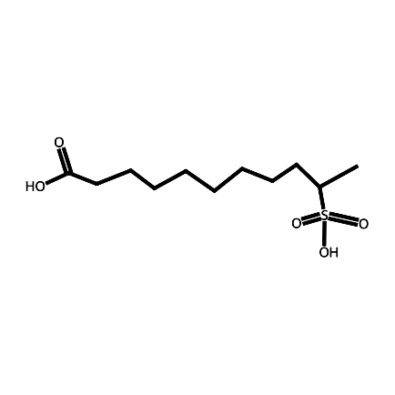 CC(CCCCCCCCC(=O)O)S(=O)(=O)O